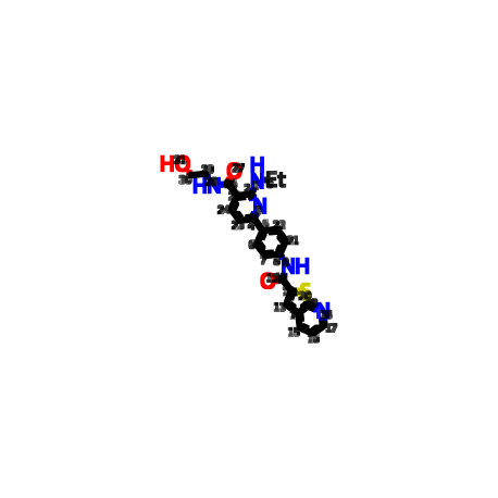 CCNc1nc(-c2ccc(NC(=O)c3cc4cccnc4s3)cc2)ccc1C(=O)NCCO